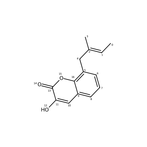 CC=C(C)Cc1cccc2cc(O)c(=O)oc12